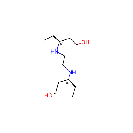 CC[C@@H](CCO)NCCN[C@@H](CC)CCO